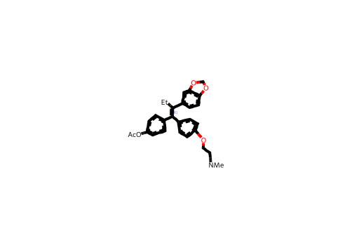 CC/C(=C(/c1ccc(OCCNC)cc1)c1ccc(OC(C)=O)cc1)c1ccc2c(c1)OCO2